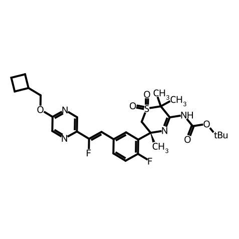 CC(C)(C)OC(=O)NC1=N[C@](C)(c2cc(/C=C(\F)c3cnc(OCC4CCC4)cn3)ccc2F)CS(=O)(=O)C1(C)C